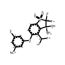 B[C@@]1(O)c2c(ccc(Oc3cc(F)cc(C#N)c3)c2C(F)F)S(=O)(=O)C1(F)F